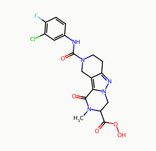 CN1C(=O)c2c3c(nn2CC1C(=O)OO)CCN(C(=O)Nc1ccc(F)c(Cl)c1)C3